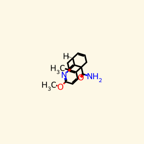 C/C=C1\[C@@H]2C=CCC1(C(N)=O)c1ccc(OC)nc1C2